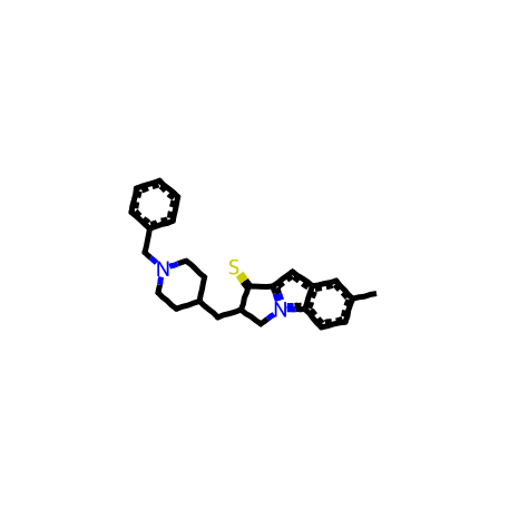 Cc1ccc2c(c1)cc1n2CC(CC2CCN(Cc3ccccc3)CC2)C1=S